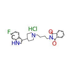 Cl.O=C1c2ccccc2C(=O)N1CCCCN1CCC(c2c[nH]c3cc(F)ccc23)CC1